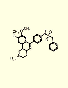 COc1cc2c(cc1OC)C1CN(C)CCC1N=C2c1ccc(NS(=O)(=O)Cc2ccccc2)cc1